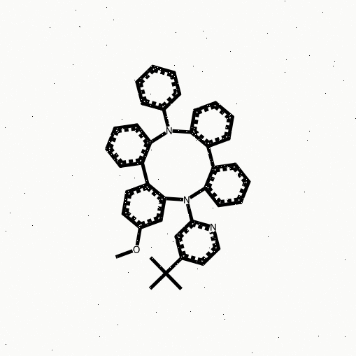 COc1ccc2c(c1)N(c1cc(C(C)(C)C)ccn1)c1ccccc1-c1ccccc1N(c1ccccc1)c1ccccc1-2